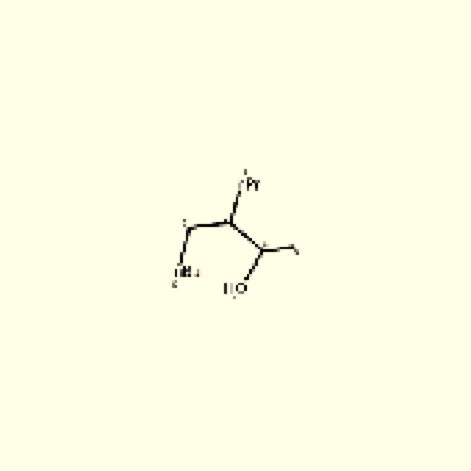 CCCCCC(CCC)C(C)O